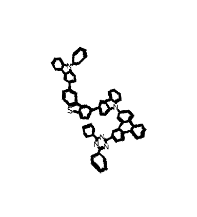 c1ccc(-c2nc(-c3ccccc3)nc(-c3ccc4c5ccccc5c5ccc(-n6c7ccccc7c7cc(-c8ccc9sc%10ccc(-c%11ccc%12c(c%11)c%11ccccc%11n%12-c%11ccccc%11)cc%10c9c8)ccc76)cc5c4c3)n2)cc1